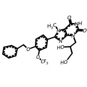 Cn1c(-c2ccc(OCc3ccccc3)c(OC(F)(F)F)c2)nc2c1c(=O)[nH]c(=O)n2CC(O)CO